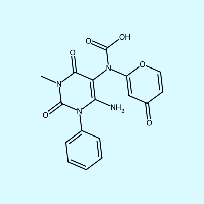 Cn1c(=O)c(N(C(=O)O)c2cc(=O)cco2)c(N)n(-c2ccccc2)c1=O